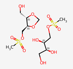 CS(=O)(=O)OC[C@@H]1OCO[C@H]1CO.CS(=O)(=O)OC[C@H](O)[C@@H](O)CO